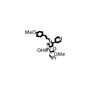 COC(=O)[C@H](CC(C)C)N(C=O)c1cc(-c2ccncc2)n(CC=Cc2ccc(OC)cc2)n1